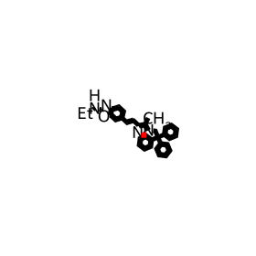 CCNc1nc2ccc(C=Cc3ncn(CC(c4ccccc4)(c4ccccc4)c4ccccc4)c3C)cc2o1